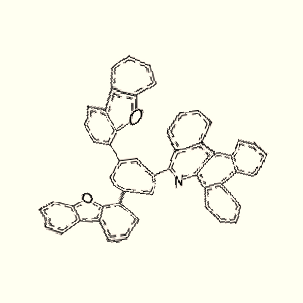 c1ccc2c(c1)oc1c(-c3cc(-c4nc5c6ccccc6c6ccccc6c5c5ccccc45)cc(-c4cccc5c4oc4ccccc45)c3)cccc12